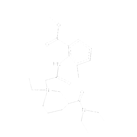 CCN(CC)C(=O)C1CCC[N+](CC)(CC(=O)Nc2c(C)cccc2C(=O)OC)C1